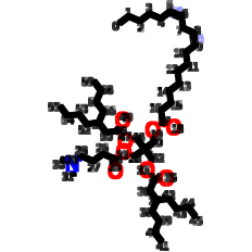 CCCCC/C=C\C/C=C\CCCCCCCC(=O)OCC(COC(=O)CCCN(C)C)(COC(=O)CC(CCCC)CCCC)COC(=O)CC(CCCC)CCCC